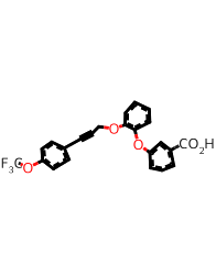 O=C(O)c1cccc(Oc2ccccc2OCC#Cc2ccc(OC(F)(F)F)cc2)c1